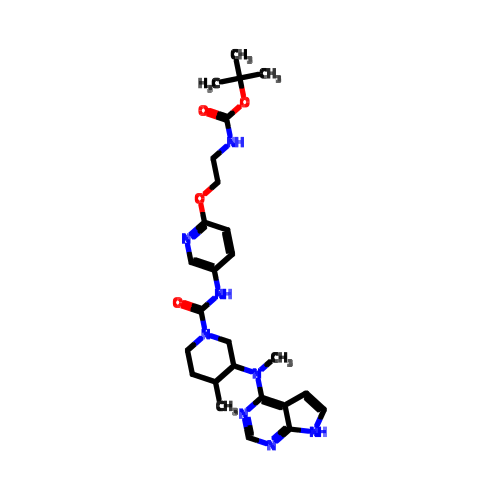 CC1CCN(C(=O)Nc2ccc(OCCNC(=O)OC(C)(C)C)nc2)CC1N(C)c1ncnc2[nH]ccc12